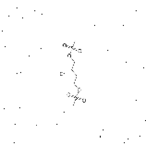 CS(=O)(=O)OCCCCOS(C)(=O)=O.[Cr]